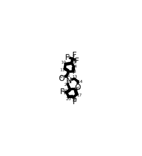 O=C(c1[c]cc(C(F)(F)F)cc1)N1CCOc2cc(F)cc(F)c2C1